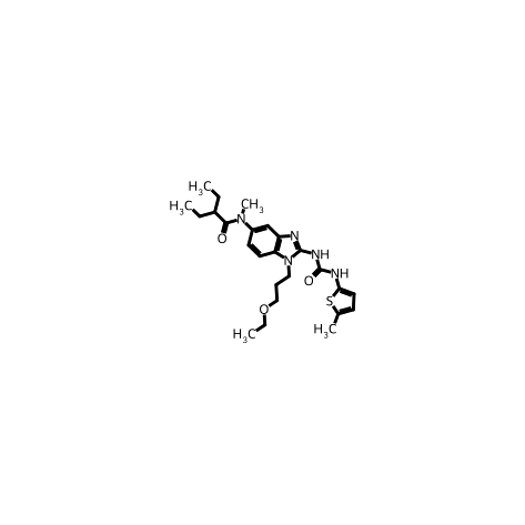 CCOCCCn1c(NC(=O)Nc2ccc(C)s2)nc2cc(N(C)C(=O)C(CC)CC)ccc21